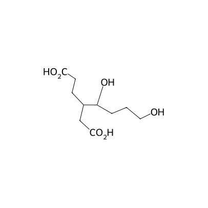 O=C(O)CCC(CC(=O)O)C(O)CCCO